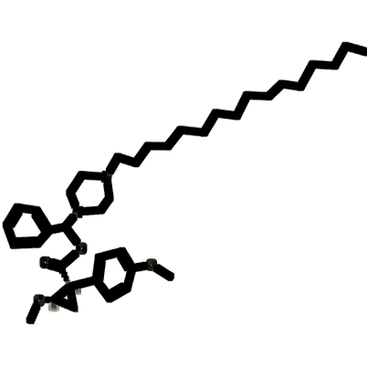 CCCCCCCCCCCCCCCCN1CCN(C(OC(=O)[C@]2(c3ccc(OC)cc3)C[C@@H]2OC)c2ccccc2)CC1